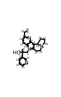 CC(O)(Cn1c2c(c3nc(CF)ccc31)C1CCCN1CC2)c1cccnc1